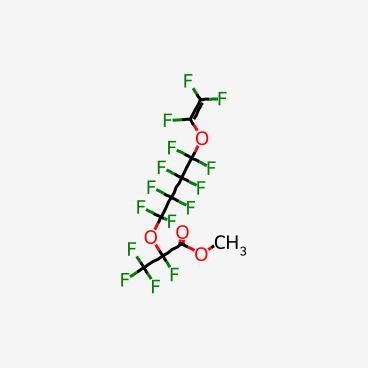 COC(=O)C(F)(OC(F)(F)C(F)(F)C(F)(F)C(F)(F)OC(F)=C(F)F)C(F)(F)F